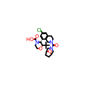 CC(C)(C)C1OCCN(C(=O)O)[C@@H]1c1cc(Cl)cc2c1CN(C(=O)N1CC3CCC(C1)O3)CC2